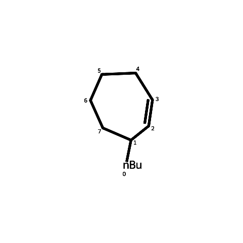 CC[CH]CC1C=CCCCC1